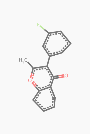 Cc1oc2ccccc2c(=O)c1-c1cccc(F)c1